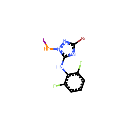 Fc1cccc(F)c1Nc1nc(Br)nn1PI